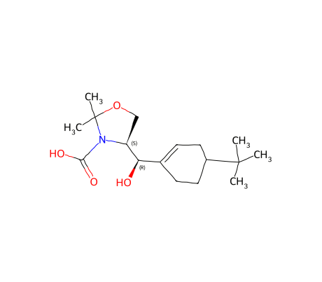 CC(C)(C)C1CC=C([C@@H](O)[C@@H]2COC(C)(C)N2C(=O)O)CC1